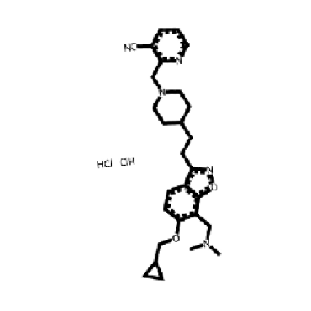 CN(C)Cc1c(OCC2CC2)ccc2c(CCC3CCN(Cc4ncccc4C#N)CC3)noc12.Cl.Cl